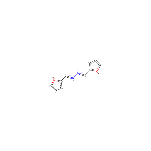 C(=N\N=C\c1ccco1)/c1ccco1